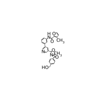 Cc1ccoc1C(=O)Nc1cccc(-c2cncc(C(=O)N=S(C)(=O)c3ccc(CO)cc3)c2)c1